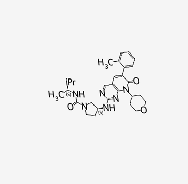 Cc1ccccc1-c1cc2cnc(N[C@H]3CCN(C(=O)N[C@@H](C)C(C)C)C3)nc2n(C2CCOCC2)c1=O